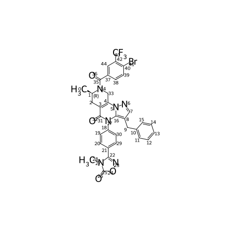 C[C@@H]1Cc2c(n3ncc(Cc4ccccc4)c3n(-c3ccc(-c4noc(=O)n4C)cc3)c2=O)CN1C(=O)c1ccc(Br)c(C(F)(F)F)c1